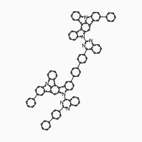 c1ccc(-c2ccc(-c3nc(-n4c5ccc(-c6ccc(-c7ccc(-c8nc(-n9c%10ccccc%10c%10c%11c%12ccccc%12n%12c%13ccc(-c%14ccccc%14)cc%13c(cc%109)c%11%12)nc9ccccc89)cc7)cc6)cc5c5c6c7ccccc7n7c8ccc(-c9ccccc9)cc8c(cc54)c67)c4ccccc4n3)cc2)cc1